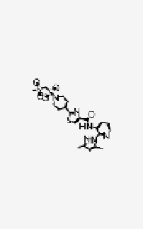 Cc1cc(C)n(-c2ncccc2NC(=O)c2csc(C3CCN(S(=O)(=O)CS(C)(=O)=O)CC3)n2)n1